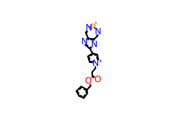 CP1N=Cc2ncc(-c3cc[n+](CCC(=O)OCc4ccccc4)cc3)nc2C=N1